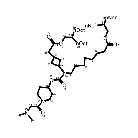 CCCCCCCCCC(CCCCCCCCC)COC(=O)CCCCCCCN(C(=O)OC1CCN(C(=O)CN(C)C)CC1)C1CC(CC(=O)OCC(CCCCCCCC)CCCCCCCC)C1